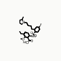 CCc1ccc(NS(=O)(=O)c2ccc(F)cc2CCCCN2CCCC2C)c(C(=O)O)c1OC